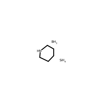 B.C1CCNCC1.[SiH4]